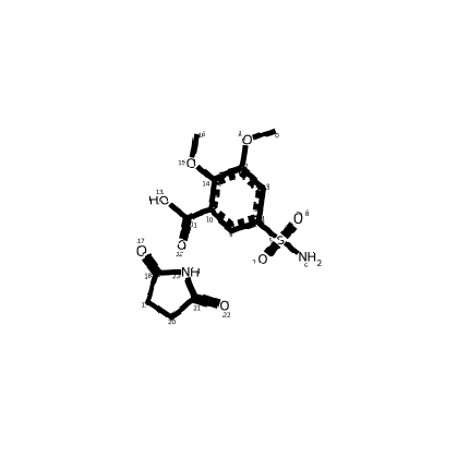 COc1cc(S(N)(=O)=O)cc(C(=O)O)c1OC.O=C1CCC(=O)N1